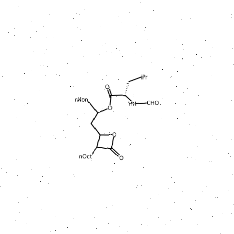 CCCCCCCCCC(CC1OC(=O)C1CCCCCCCC)OC(=O)[C@H](CC(C)C)NC=O